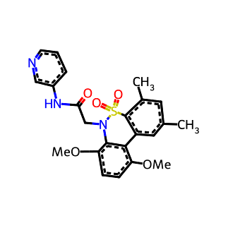 COc1ccc(OC)c2c1-c1cc(C)cc(C)c1S(=O)(=O)N2CC(=O)Nc1cccnc1